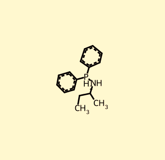 CCC(C)N[PH2](c1ccccc1)c1ccccc1